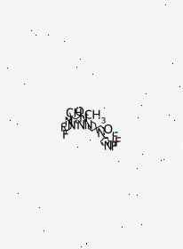 Cc1nn(CC(F)F)c2nc(N3CCC4(CC3)CC(=O)N(c3ccnc(C(F)(F)F)c3)C4)n(C)c(=O)c12